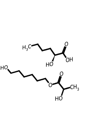 CC(O)C(=O)OCCCCCCO.CCCC[C@H](O)C(=O)O